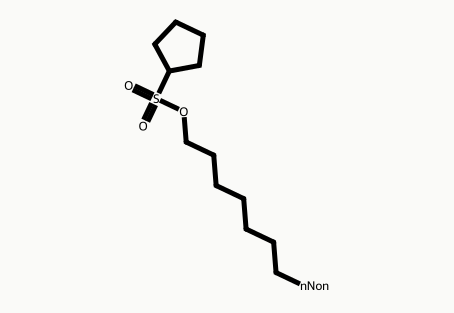 CCCCCCCCCCCCCCCCOS(=O)(=O)C1CCCC1